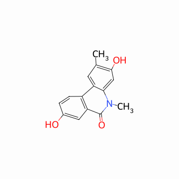 Cc1cc2c3ccc(O)cc3c(=O)n(C)c2cc1O